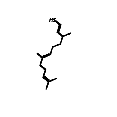 CC(C)=CCCC(C)=CCCC(C)C=CS